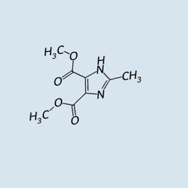 COC(=O)c1nc(C)[nH]c1C(=O)OC